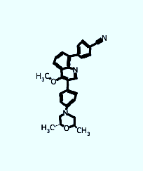 COc1c(-c2ccc(N3C[C@@H](C)O[C@H](C)C3)cc2)cnc2c(-c3ccc(C#N)cc3)cccc12